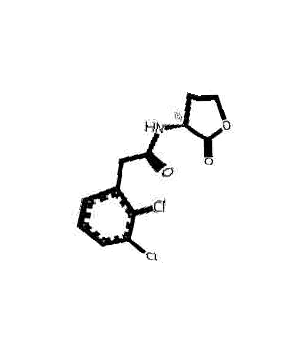 O=C(Cc1cccc(Cl)c1Cl)N[C@H]1CCOC1=O